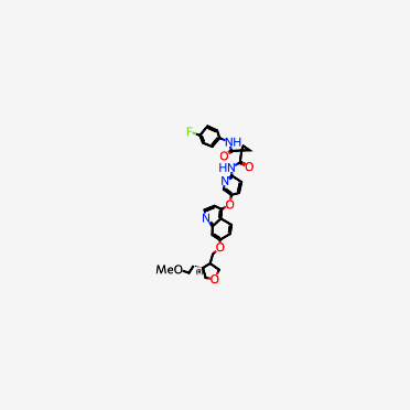 COCC[C@H]1COCC1COc1ccc2c(Oc3ccc(NC(=O)C4(C(=O)Nc5ccc(F)cc5)CC4)nc3)ccnc2c1